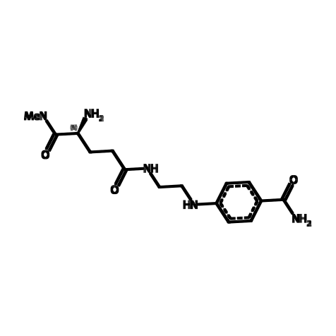 CNC(=O)[C@@H](N)CCC(=O)NCCNc1ccc(C(N)=O)cc1